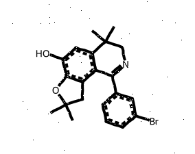 CC1(C)Cc2c(c(O)cc3c2C(c2cccc(Br)c2)=NCC3(C)C)O1